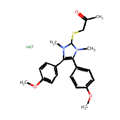 COc1ccc(C2=C(c3ccc(OC)cc3)N(C)C(SCC(C)=O)N2C)cc1.Cl